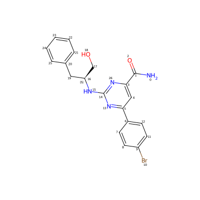 NC(=O)c1cc(-c2ccc(Br)cc2)nc(N[C@H](CO)Cc2ccccc2)n1